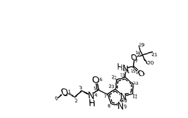 COCCNC(=O)c1cnn2ccc(NC(=O)OC(C)(C)C)cc12